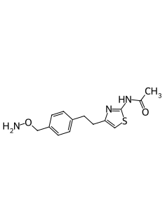 CC(=O)Nc1nc(CCc2ccc(CON)cc2)cs1